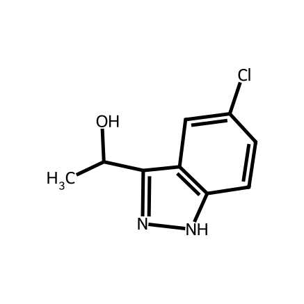 CC(O)c1n[nH]c2ccc(Cl)cc12